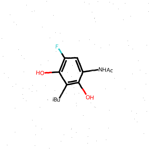 CCC(C)c1c(O)c(F)cc(NC(C)=O)c1O